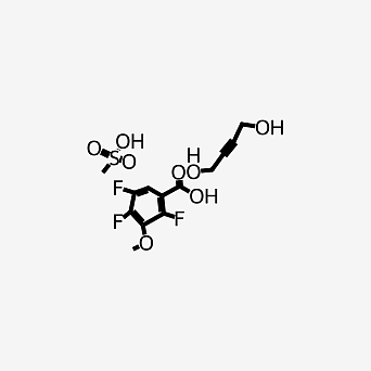 COc1c(F)c(F)cc(C(=O)O)c1F.CS(=O)(=O)O.OCC#CCO